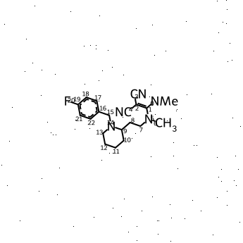 CNC(=C(C#N)C#N)N(C)CCC1CCCCN1Cc1ccc(F)cc1